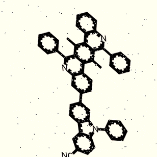 Cc1c2c(-c3ccccc3)nc3cc(-c4ccc5c6cc(C#N)ccc6n(-c6ccccc6)c5c4)ccc3c2c(C)c2c(-c3ccccc3)nc3ccccc3c12